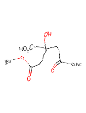 CC(=O)OC(=O)CC(O)(CC(=O)OC(C)(C)C)C(=O)O